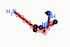 Cc1ccnc(NCCCC(=O)N[C@@H](COCc2ccccc2)C(=O)N[C@@H](CC(=O)O)c2ccc(-c3ccc(OCCOCCOCCOCCOCCN)c4ccccc34)cc2)c1